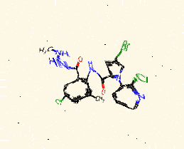 CNNC(=O)c1cc(Cl)cc(C)c1NC(=O)c1cc(Br)cn1-c1cccnc1Cl